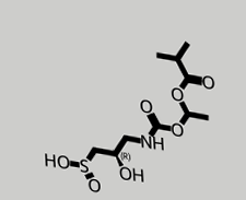 CC(OC(=O)NC[C@@H](O)CS(=O)O)OC(=O)C(C)C